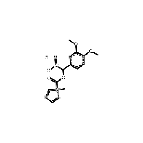 COc1ccc(C(OC(=O)[N+]2(C)C=CN=C2)[N+](=O)[O-])cc1OC.[Cl-]